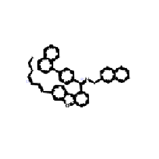 CCC/C=C\C=Cc1ccc2c(c1)oc1cccc(/C(=N\Cc3ccc4ccccc4c3)c3ccc(-c4cccc5ccccc45)cc3)c12